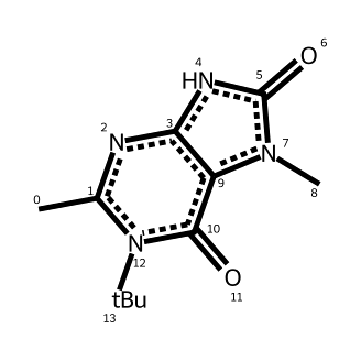 Cc1nc2[nH]c(=O)n(C)c2c(=O)n1C(C)(C)C